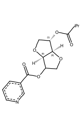 CC(C)C(=O)O[C@H]1CO[C@@H]2C(OC(=O)c3cccnc3)CO[C@H]12